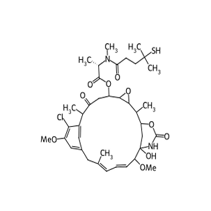 COc1cc2cc(c1Cl)C(C)C(=O)CC(OC(=O)[C@H](C)N(C)C(=O)CCC(C)(C)S)C1OC1C(C)C1CC(O)(NC(=O)O1)C(OC)/C=C/C=C(\C)C2